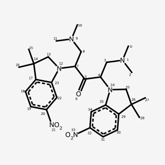 CN(C)CC(C(=O)C(CN(C)C)N1CC(C)(C)c2ccc([N+](=O)[O-])cc21)N1CC(C)(C)c2ccc([N+](=O)[O-])cc21